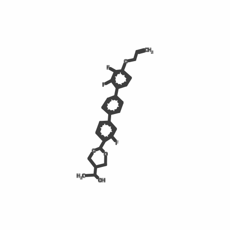 C=CCOc1ccc(-c2ccc(-c3ccc(C4OCC(C(C)O)CO4)c(F)c3)cc2)c(F)c1F